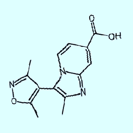 Cc1noc(C)c1-c1c(C)nc2cc(C(=O)O)ccn12